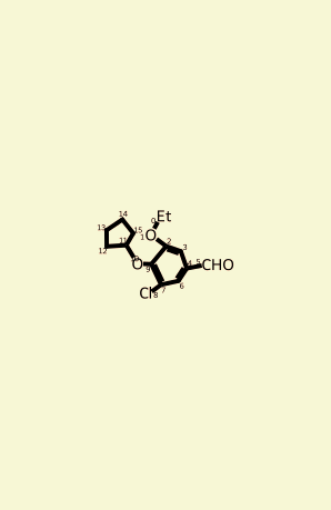 CCOc1cc(C=O)cc(Cl)c1OC1CCCC1